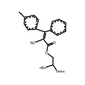 CCCCCCC(CCCC)COC(=O)/C(C#N)=C(\c1ccccc1)c1ccc(C)cc1